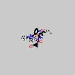 CCC(=O)c1cnc(N(C)C(=O)[C@@H]2C[C@@H]2C=O)cc1N(I)c1cccc(-c2ncn(C)n2)c1OC